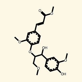 COCC(Oc1ccc(/C=C/C(=O)OC)cc1OC)C(O)c1ccc(O)c(OC)c1